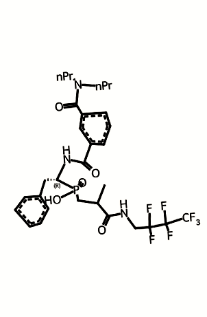 CCCN(CCC)C(=O)c1cccc(C(=O)N[C@@H](Cc2ccccc2)P(=O)(O)CC(C)C(=O)NCC(F)(F)C(F)(F)C(F)(F)F)c1